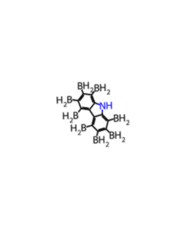 Bc1c(B)c(B)c2c([nH]c3c(B)c(B)c(B)c(B)c32)c1B